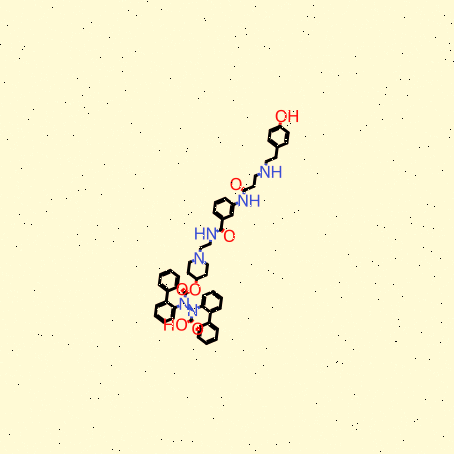 O=C(CCNCCc1ccc(O)cc1)Nc1cccc(C(=O)NCCN2CCC(OC(=O)N(c3ccccc3-c3ccccc3)N(C(=O)O)c3ccccc3-c3ccccc3)CC2)c1